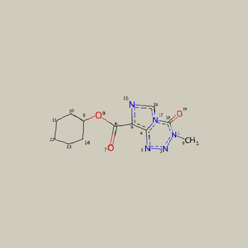 Cn1nnc2c(C(=O)OC3CCCCC3)ncn2c1=O